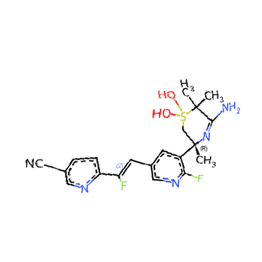 CC1(C)C(N)=N[C@](C)(c2cc(/C=C(\F)c3ccc(C#N)cn3)cnc2F)CS1(O)O